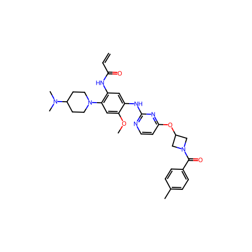 C=CC(=O)Nc1cc(Nc2nccc(OC3CN(C(=O)c4ccc(C)cc4)C3)n2)c(OC)cc1N1CCC(N(C)C)CC1